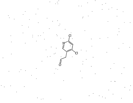 O=CCc1cnc(Cl)cc1Cl